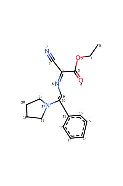 CCOC(=O)C(C#N)=NC=C(c1ccccc1)N1CCCC1